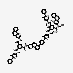 Cc1cc(N(C)C(=O)c2cc(C(=O)N(C)c3cnc4c(ccc5ccccc54)c3)cc(C(=O)N(C)c3cnc4c(ccc5c(-c6ccc(-c7ncc(N(CC(C)(C)C)C(=O)c8cc(C(=O)N(CC(C)(C)C)c9cnc%10c(ccc%11ccccc%11%10)c9)cc(C(O)N(CC(C)(C)C)c9cnc(-c%10ccccc%10)c(C)c9)c8)cc7C)cc6)cccc54)c3)c2)cnc1-c1ccccc1